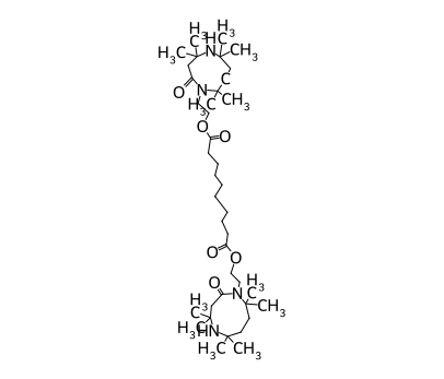 CC1(C)CCC(C)(C)N(CCOC(=O)CCCCCCCCC(=O)OCCN2C(=O)CC(C)(C)NC(C)(C)CCC2(C)C)C(=O)CC(C)(C)N1